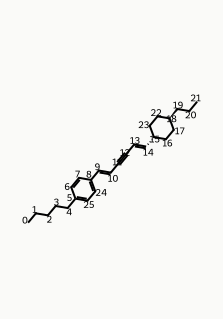 CCCCCc1ccc(C=CC#CC=C[C@H]2CC[C@H](CCC)CC2)cc1